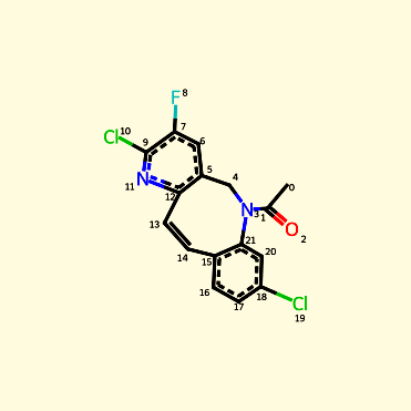 CC(=O)N1Cc2cc(F)c(Cl)nc2C=Cc2ccc(Cl)cc21